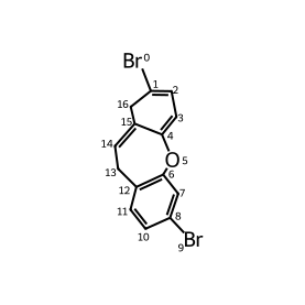 BrC1=CC=C2Oc3cc(Br)ccc3CC=C2C1